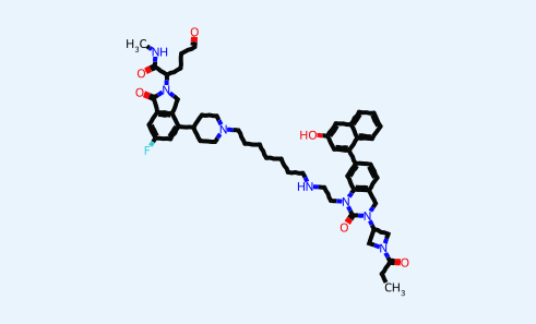 CCC(=O)N1CC(N2Cc3ccc(-c4cc(O)cc5ccccc45)cc3N(CCNCCCCCCCN3CCC(c4cc(F)cc5c4CN(C(CCC=O)C(=O)NC)C5=O)CC3)C2=O)C1